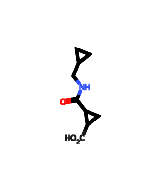 O=C(O)C1CC1C(=O)NCC1CC1